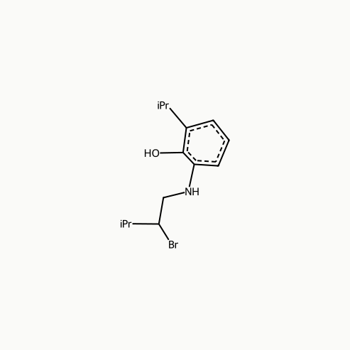 CC(C)c1cccc(NCC(Br)C(C)C)c1O